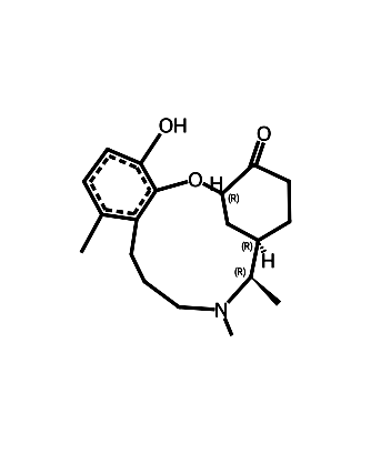 Cc1ccc(O)c2c1CCCN(C)[C@H](C)[C@@H]1CCC(=O)[C@@H](C1)O2